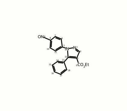 CCOC(=O)c1cnn(-c2ccc(N=O)cc2)c1-c1ccccc1